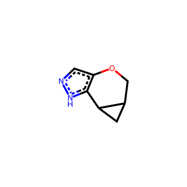 c1n[nH]c2c1OCC1CC21